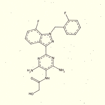 Nc1nc(-c2nn(Cc3ccccc3F)c3c(F)cccc23)nc(N)c1NC(=O)CO